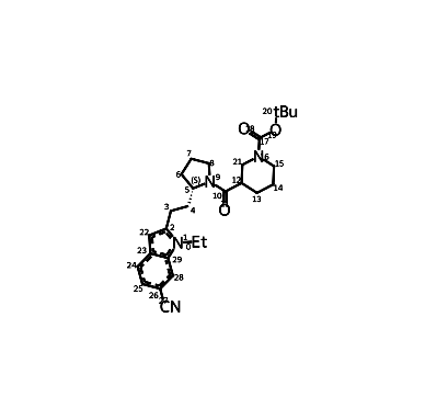 CCn1c(CC[C@@H]2CCCN2C(=O)C2CCCN(C(=O)OC(C)(C)C)C2)cc2ccc(C#N)cc21